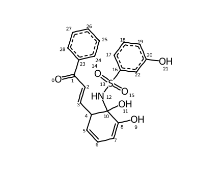 O=C(C=CC1C=CC=C(O)C1(O)NS(=O)(=O)c1cccc(O)c1)c1ccccc1